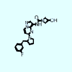 O=C(Nc1cnn2ccc(N3CCCC3Cc3cccc(F)c3)nc12)N1CC(O)C1